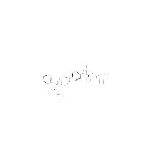 COC(=O)C(c1ccccc1)N1CCN(c2ccc(NC(=O)CC(C)C)cc2)CC1